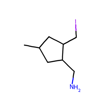 CC1CC(CN)C(CI)C1